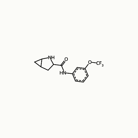 O=C(Nc1cccc(OC(F)(F)F)c1)C1CC2CC2N1